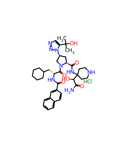 CC(C)(O)c1cnnn1[C@H]1C[C@@H](C(=O)NC2(C(O)C(N)=O)CCNCC2)N(C(=O)[C@@H](CC2CCCCC2)NC(=O)c2ccc3ccccc3c2)C1.Cl